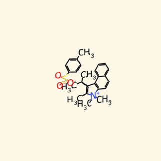 CC1=C(C(C)C)c2c(ccc3ccccc23)[N+]1(C)C.Cc1ccc(S(=O)(=O)[O-])cc1